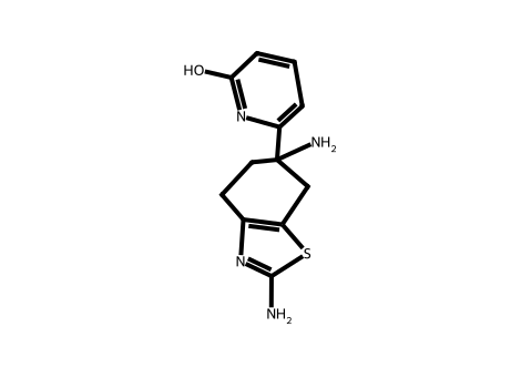 Nc1nc2c(s1)CC(N)(c1cccc(O)n1)CC2